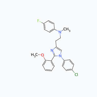 COc1ccccc1-c1nc(CCN(C)c2ccc(F)cc2)cn1-c1ccc(Cl)cc1